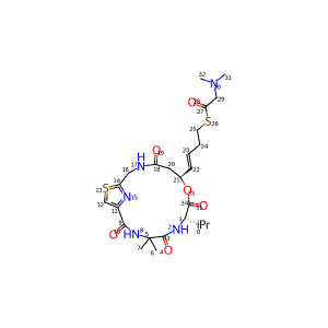 CC(C)[C@@H]1NC(=O)C(C)(C)NC(=O)c2csc(n2)CNC(=O)C[C@@H](/C=C/CCSC(=O)CN(C)C)OC1=O